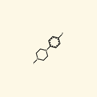 Fc1ccc(N2CCN(I)CC2)cc1